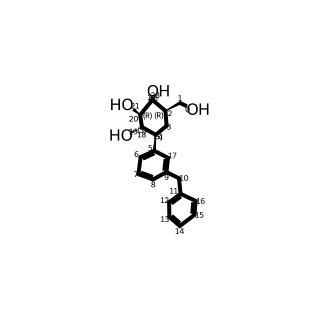 OC[C@H]1C[C@@H](c2cccc(Cc3ccccc3)c2)[C@H](O)[C@@H](O)[C@@H]1O